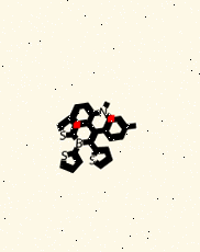 Cc1ccc(/C(=C(/B(c2cccs2)c2cccs2)c2cccs2)c2ccccc2N(C)C)cc1